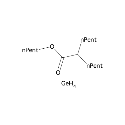 CCCCCOC(=O)C(CCCCC)CCCCC.[GeH4]